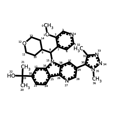 COc1cnccc1C(C1CCOCC1)n1c2cc(C(C)(C)O)ccc2c2ncc(-c3c(C)nnn3C)cc21